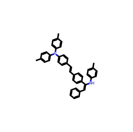 Cc1ccc(NC(=Cc2ccccc2)c2ccc(C=Cc3ccc(N(c4ccc(C)cc4)c4ccc(C)cc4)cc3)cc2)cc1